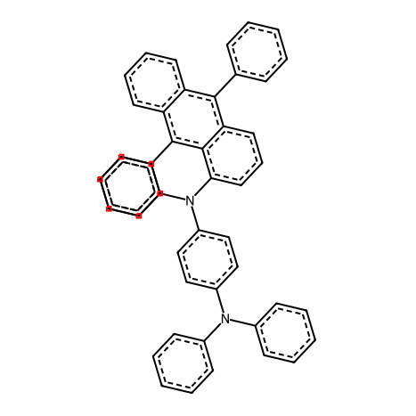 c1ccc(-c2c3ccccc3c(-c3ccccc3)c3c(N(c4ccccc4)c4ccc(N(c5ccccc5)c5ccccc5)cc4)cccc23)cc1